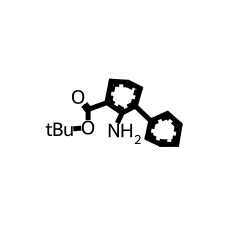 CC(C)(C)OC(=O)c1cccc(-c2ccccc2)c1N